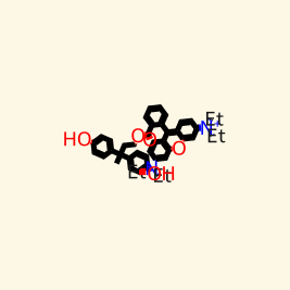 CCN(CC)c1ccc2c(-c3ccccc3C(=O)OCCC(C)(c3ccc(O)cc3)c3ccc(O)cc3)c3ccc(=[N+](CC)CC)cc-3oc2c1